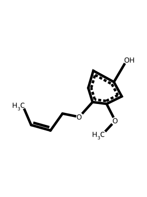 C/C=C\COc1ccc(O)cc1OC